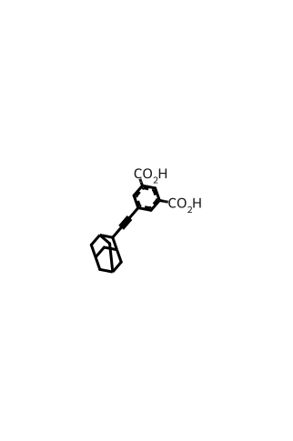 O=C(O)c1cc(C#CC2C3CC4CC(C3)CC2C4)cc(C(=O)O)c1